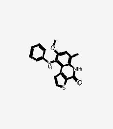 COc1cc(C)c2[nH]c(=O)c3sccc3c2c1Nc1[c]cccc1